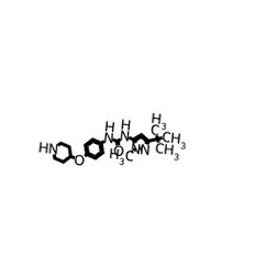 Cn1nc(C(C)(C)C)cc1NC(=O)Nc1ccc(OC2CCNCC2)cc1